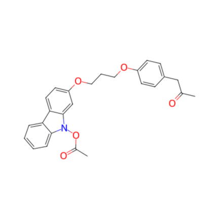 CC(=O)Cc1ccc(OCCCOc2ccc3c4ccccc4n(OC(C)=O)c3c2)cc1